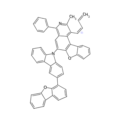 C=C/C=C\c1c(C)nc(-c2ccccc2)c2cc(-n3c4ccccc4c4cc(-c5cccc6c5oc5ccccc56)ccc43)c3oc4ccccc4c3c12